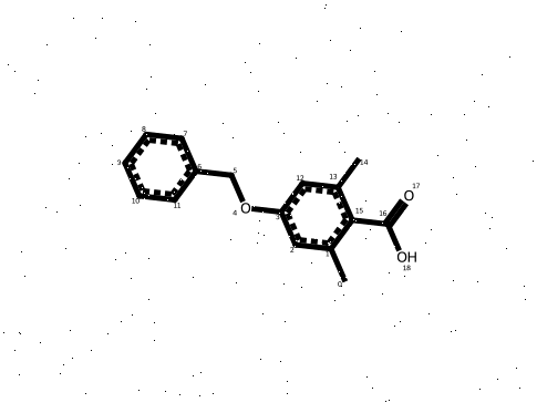 Cc1cc(OCc2ccccc2)cc(C)c1C(=O)O